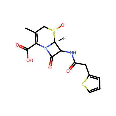 CC1=C(C(=O)O)N2C(=O)C(NC(=O)Cc3cccs3)[C@@H]2[S+]([O-])C1